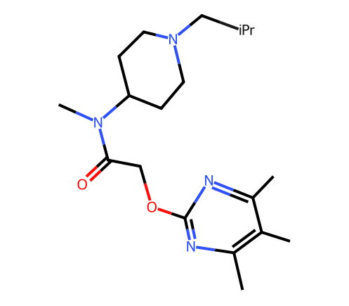 Cc1nc(OCC(=O)N(C)C2CCN(CC(C)C)CC2)nc(C)c1C